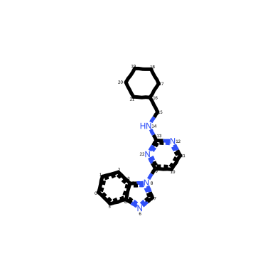 c1ccc2c(c1)ncn2-c1ccnc(NCC2CCCCC2)n1